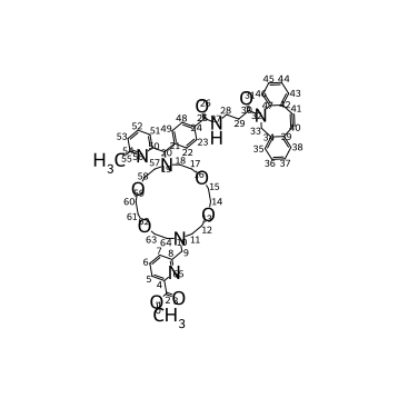 COC(=O)c1cccc(CN2CCOCCOCCN(C(c3ccc(C(=O)NCCC(=O)N4Cc5ccccc5C#Cc5ccccc54)cc3)c3cccc(C)n3)CCOCCOCC2)n1